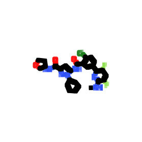 CNc1nc(-c2ccc(Cl)c(C(=O)Nc3cc(C(=O)N[C@H]4CCOC4)nn3-c3ccccc3)c2)c(F)cc1F